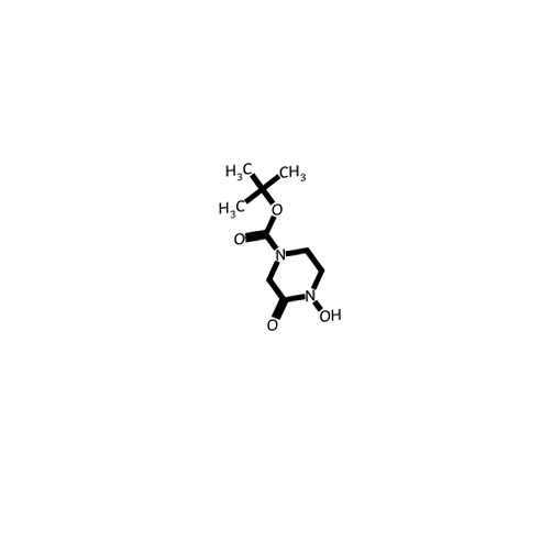 CC(C)(C)OC(=O)N1CCN(O)C(=O)C1